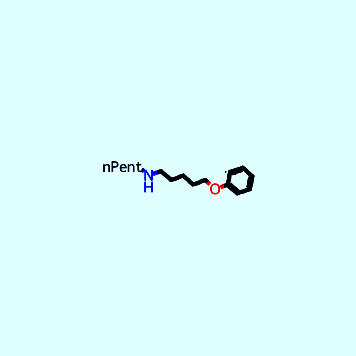 CCCCCNCCCCCOc1[c]cccc1